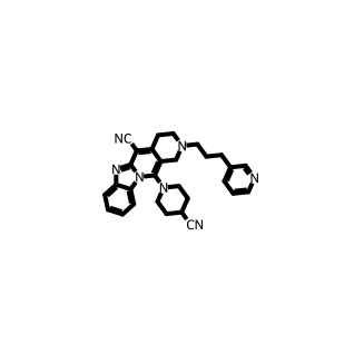 N#Cc1c2c(c(N3CCC(C#N)CC3)n3c1nc1ccccc13)CN(CCCc1cccnc1)CC2